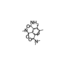 Cc1pc(C(=O)N(C)C)c(C(=O)N(C)C)c(C(N)=O)c1C